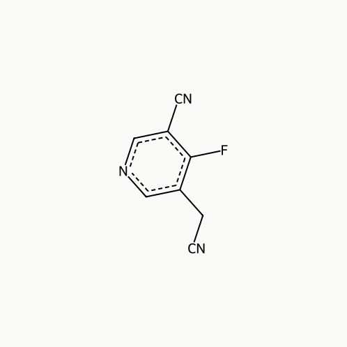 N#CCc1cncc(C#N)c1F